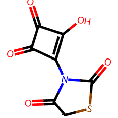 O=C1[CH]SC(=O)N1c1c(O)c(=O)c1=O